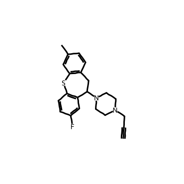 C#CCN1CCN(C2Cc3ccc(C)cc3Sc3ccc(F)cc32)CC1